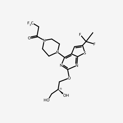 CC(F)(F)c1cc2c(N3CCN(C(=O)CC(F)(F)F)CC3)nc(OC[C@@H](O)CO)nc2s1